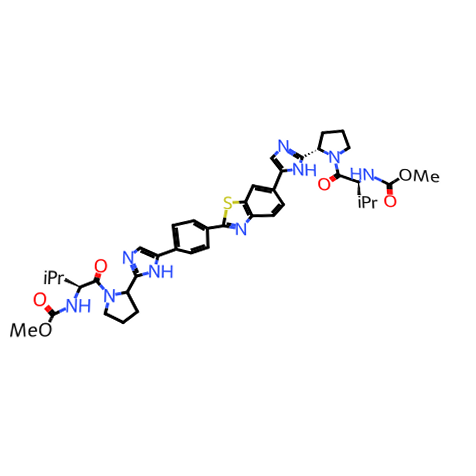 COC(=O)N[C@H](C(=O)N1CCCC1c1ncc(-c2ccc(-c3nc4ccc(-c5cnc([C@@H]6CCCN6C(=O)[C@@H](NC(=O)OC)C(C)C)[nH]5)cc4s3)cc2)[nH]1)C(C)C